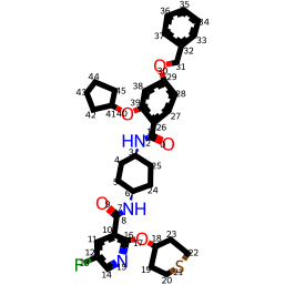 O=C(N[C@H]1CC[C@@H](NC(=O)c2cc(F)cnc2OC2CCSCC2)CC1)c1ccc(OCc2ccccc2)cc1OC1CCCC1